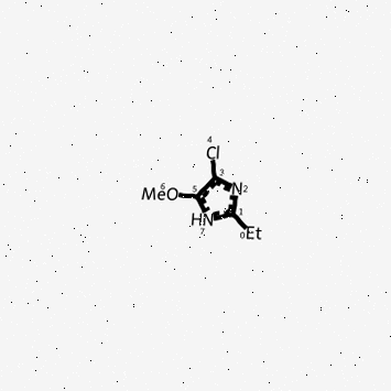 CCc1nc(Cl)c(OC)[nH]1